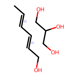 C/C=C/C=C/CO.OCC(O)CO